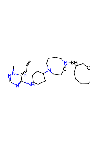 C=C/C=C1/C(NC2CCC(N3CCCCN(BC4CCCCCCCC4)CCC3)CC2)=NC=NN1C